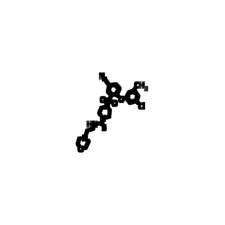 Cc1cc(Cl)cc(Oc2ccc(C#N)cc2S(=O)(=O)N2CCN(C(=S)NCCN3CCOCC3)CC2)c1